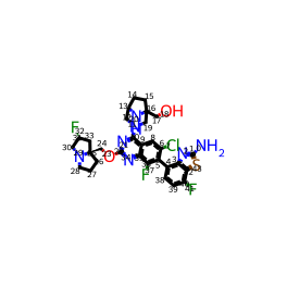 Nc1nc2c(-c3c(Cl)cc4c(N5CC6CCC(CO)(C5)N6)nc(OC[C@@]56CCCN5C[C@H](F)C6)nc4c3F)ccc(F)c2s1